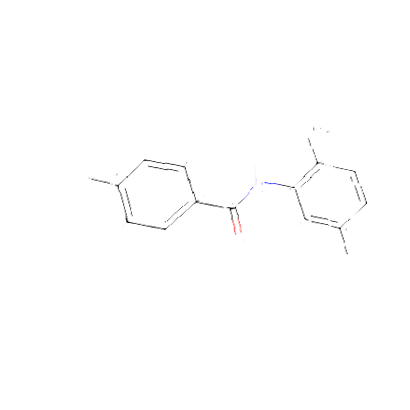 COc1ccc(C(F)(F)F)cc1NC(=O)c1ccc(C(F)(F)F)cc1